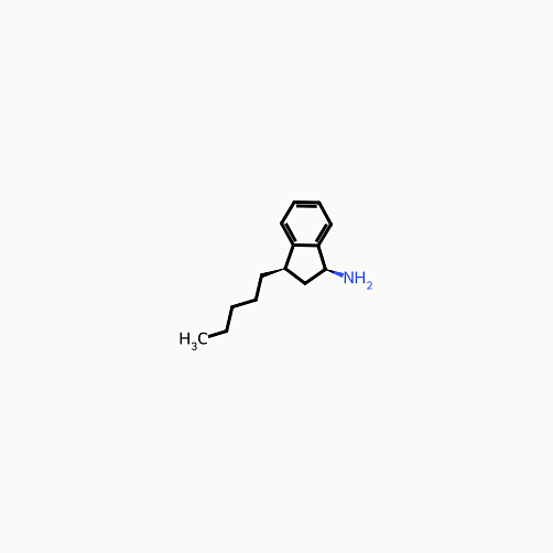 CCCCC[C@@H]1C[C@H](N)c2ccccc21